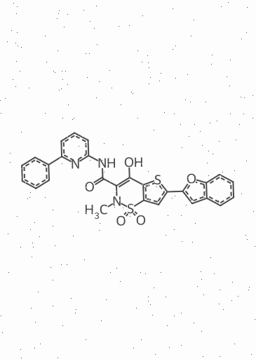 CN1C(C(=O)Nc2cccc(-c3ccccc3)n2)=C(O)c2sc(-c3cc4ccccc4o3)cc2S1(=O)=O